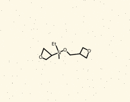 CC[Si](C)(OCC1COC1)C1COC1